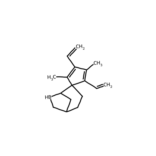 C=CC1=C(C)C2(CCC3CBC2C3)C(C=C)=C1C